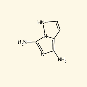 Nc1nc(N)n2[nH]ccc12